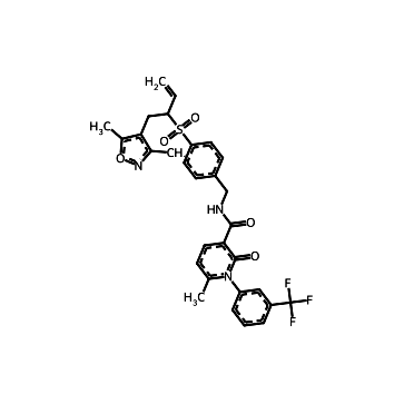 C=CC(Cc1c(C)noc1C)S(=O)(=O)c1ccc(CNC(=O)c2ccc(C)n(-c3cccc(C(F)(F)F)c3)c2=O)cc1